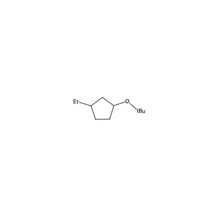 CCC1CCC(OC(C)(C)C)C1